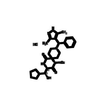 CCCCN1C(=O)[C@@H]([C@H](O)C2CCCC2)NC(=O)C12CCN(C(c1ccccc1)c1c(C)n[nH]c1C)CC2.Cl